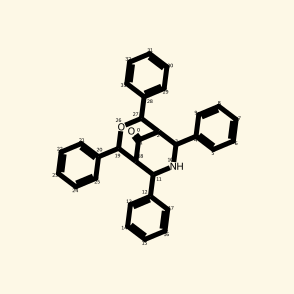 O=C1C2C(c3ccccc3)NC(c3ccccc3)C1C(c1ccccc1)OC2c1ccccc1